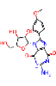 COc1ccc(-c2nc3c(=O)nc(N)[nH]c(=O)c3n2[C@@H]2O[C@H](CO)[C@@H](O)[C@H]2O)cc1